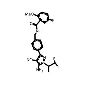 COc1ccc(F)cc1C(=O)NCc1ccc(-c2nn(C(C)C(F)F)c(N)c2C#N)cc1